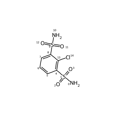 NS(=O)(=O)c1cccc(S(N)(=O)=O)c1Cl